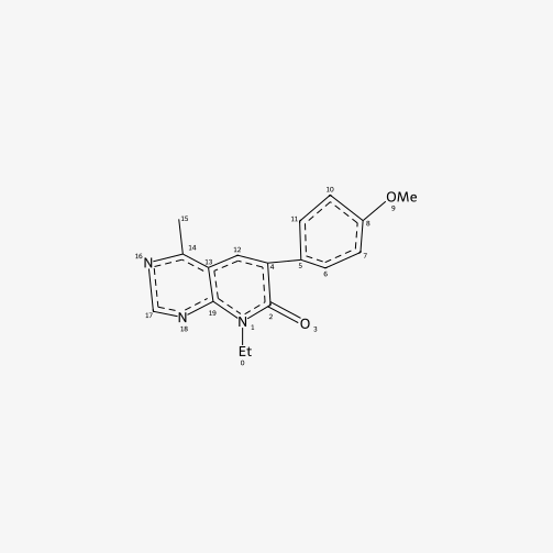 CCn1c(=O)c(-c2ccc(OC)cc2)cc2c(C)ncnc21